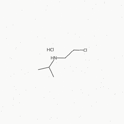 CC(C)NCCCl.Cl